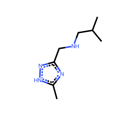 Cc1nc(CNCC(C)C)n[nH]1